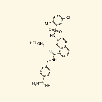 Cl.N=C(N)c1ccc(CNC(=O)c2cccc3ccc(NS(=O)(=O)c4cc(Cl)ccc4Cl)cc23)cc1.O